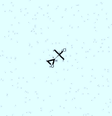 CC(C)(Cl)[C@H]1CO1